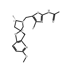 COc1ccc2c(n1)C[C@]1(C[C@H](C)N(Cc3sc(NC(C)=O)nc3F)C1)O2